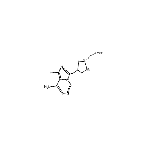 COC[C@H]1CC(c2nc(I)c3c(N)nccn23)CN1